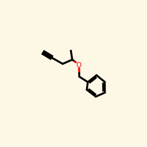 C#CCC(C)OCc1ccccc1